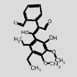 CCc1c(CC)c(C(O)=C(C=O)c2ccccc2C=O)c(O)c(OC)c1OC